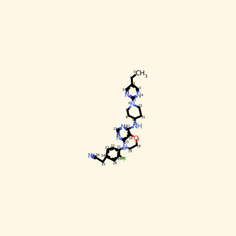 CCc1cnc(N2CCC(Nc3ncnc4c3OCCN4c3ccc(CC#N)cc3F)CC2)nc1